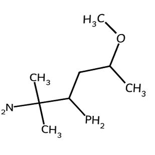 COC(C)CC(P)C(C)(C)N